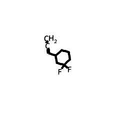 C=C=CC1CCCC(F)(F)C1